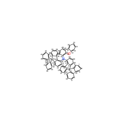 c1ccc(C2(c3ccccc3)c3ccccc3-c3c(N(c4cccc5c4-c4ccccc4C54c5ccccc5-c5ccccc54)c4cccc5c4oc4ccccc45)cccc32)cc1